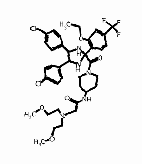 CCOc1cc(C(F)(F)F)ccc1C1(C(=O)N2CCC(NC(=O)CN(CCOC)CCOC)CC2)NC(c2ccc(Cl)cc2)C(c2ccc(Cl)cc2)N1